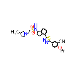 CC(C)Oc1ccc(-c2nnc(-c3cccc4c3CC[C@@H]4NS(=O)(=O)CCN3CC[C@@H](C)C3)s2)cc1C#N